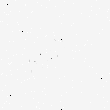 NC1(NCc2ccccc2)N=C(I)N=C2C1=NCN2[C@@H]1O[C@H](CO)[C@@H](O)[C@H]1O